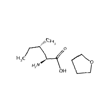 C1CCOC1.CC[C@H](C)[C@H](N)C(=O)O